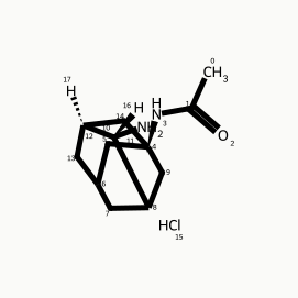 CC(=O)N[C@]12CC3CC(C1)[C@@H](N)[C@@H](C3)C2.Cl